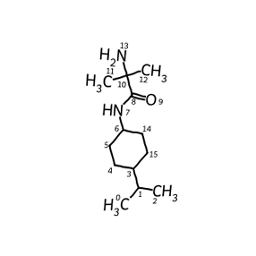 CC(C)C1CCC(NC(=O)C(C)(C)N)CC1